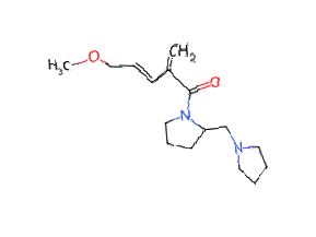 C=C(/C=C/COC)C(=O)N1CCCC1CN1CCCC1